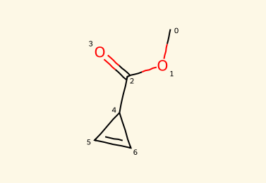 COC(=O)C1C=C1